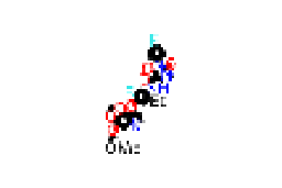 CCc1cc(Oc2ccnc3cc(OCCOC)c4c(c23)OCCO4)c(F)cc1NC(=O)c1cn(C)c(=O)n(-c2ccc(F)cc2)c1=O